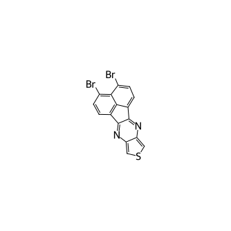 Brc1ccc2c3c(ccc(Br)c13)-c1nc3cscc3nc1-2